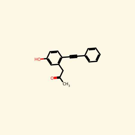 CC(=O)Cc1cc(O)ccc1C#Cc1ccccc1